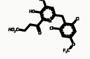 N#Cc1cc(Cc2c(Cl)cc(OC(F)(F)F)cc2Cl)nc(C(=O)CCC(=O)O)c1O